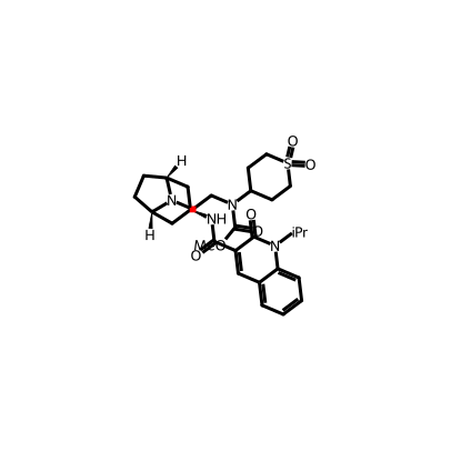 COC(=O)N(CCN1[C@@H]2CC[C@H]1C[C@H](NC(=O)c1cc3ccccc3n(C(C)C)c1=O)C2)C1CCS(=O)(=O)CC1